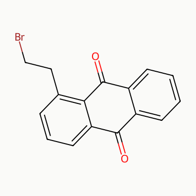 O=C1c2ccccc2C(=O)c2c(CCBr)cccc21